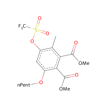 CCCCCOc1cc(OS(=O)(=O)C(F)(F)F)c(C)c(C(=O)OC)c1C(=O)OC